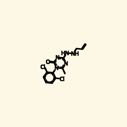 C=CCNNc1nc(C)n(-c2c(Cl)cccc2Cl)c(=O)n1